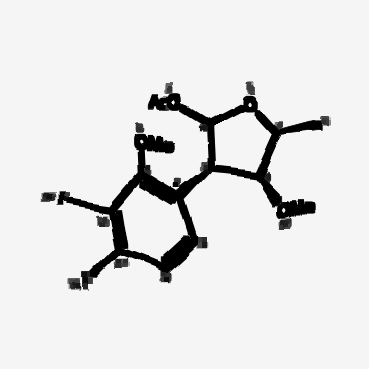 COc1c([C@H]2C(OC(C)=O)O[C@@H](C)[C@H]2OC)ccc(F)c1F